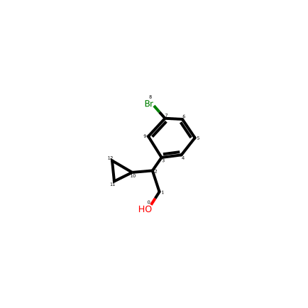 OCC(c1cccc(Br)c1)C1CC1